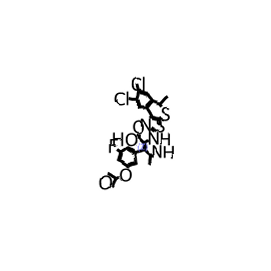 CC(=N)/C(=C(\Nc1nc2c(s1)SC(C)c1cc(Cl)c(Cl)cc1-2)C(=O)O)c1cc(F)cc(OC2COC2)c1